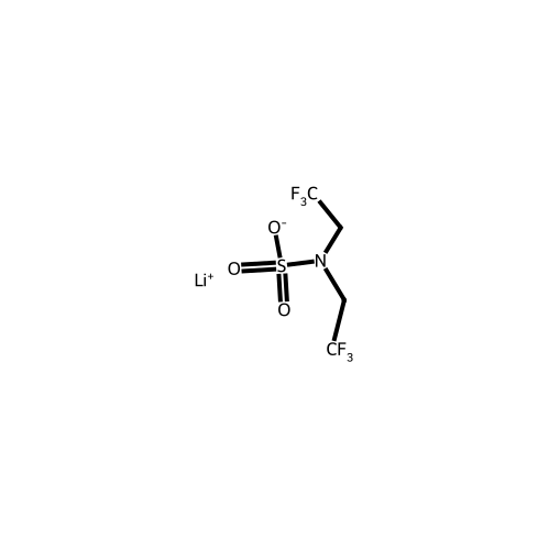 O=S(=O)([O-])N(CC(F)(F)F)CC(F)(F)F.[Li+]